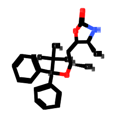 C[C@@H]1NC(=O)OC1C[C@H](C)O[Si](c1ccccc1)(c1ccccc1)C(C)(C)C